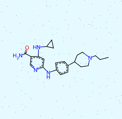 CCCN1CCC(c2ccc(Nc3cc(NC4CC4)c(C(N)=O)cn3)cc2)CC1